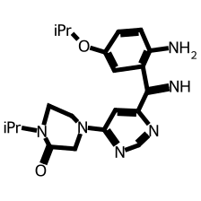 CC(C)Oc1ccc(N)c(C(=N)c2cc(N3CCN(C(C)C)C(=O)C3)ncn2)c1